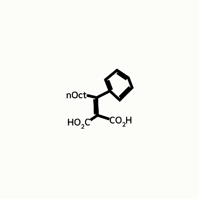 CCCCCCCCC(=C(C(=O)O)C(=O)O)c1ccccc1